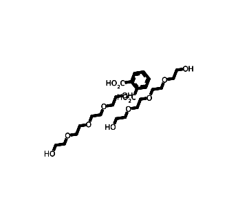 O=C(O)c1ccccc1C(=O)O.OCCOCCOCCOCCO.OCCOCCOCCOCCO